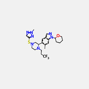 Cc1cc2c(cnn2C2CCCCO2)cc1C1CN(Sc2cnn(C)n2)CCN1CCC(F)(F)F